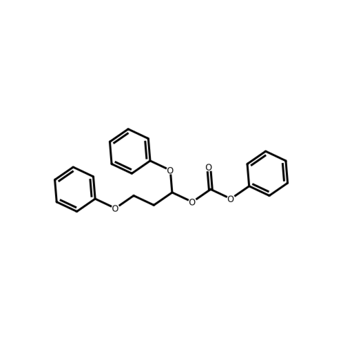 O=C(Oc1ccccc1)OC(CCOc1ccccc1)Oc1ccccc1